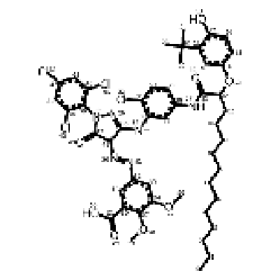 CCCCCCCCCCCCC(Oc1ccc(O)c(C(C)(C)C)c1)C(=O)Nc1ccc(Cl)c(NC2=NN(c3c(Cl)cc(Cl)cc3Cl)C(=O)C2N=Nc2cc(OC)c(OC)c(C(=O)O)c2)c1